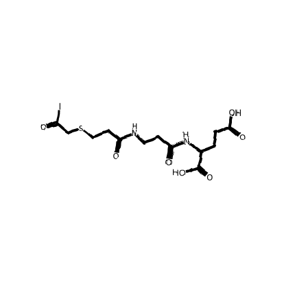 O=C(O)CCC(NC(=O)CCNC(=O)CCSCC(=O)I)C(=O)O